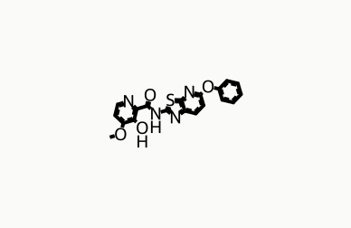 COc1ccnc(C(=O)Nc2nc3ccc(Oc4ccccc4)nc3s2)c1O